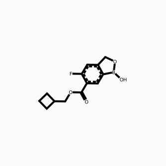 O=C(OCC1CCC1)c1cc2c(cc1F)COB2O